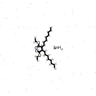 CCCCCCCC/C(C(=O)OCC)=C(\CCCCCCCC)C(=O)OCC.[SnH4]